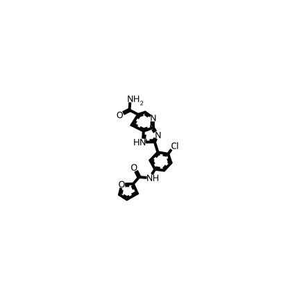 NC(=O)c1cnc2nc(-c3cc(NC(=O)c4ccco4)ccc3Cl)[nH]c2c1